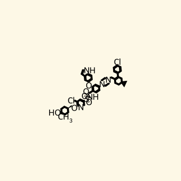 C[C@]1(O)CC[C@@H](COc2ncc(S(=O)(=O)NC(=O)c3ccc(N4CCN(CC5=C(c6ccc(Cl)cc6)CC6(CC5)CC6)CC4)cc3Oc3ccc4[nH]ccc4c3)cc2Cl)CC1